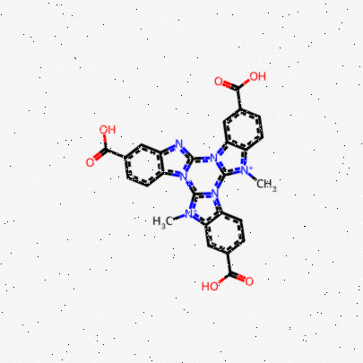 C[n+]1c2cc(C(=O)O)ccc2n2c1n1c3ccc(C(=O)O)cc3nc1n1c3cc(C(=O)O)ccc3[n+](C)c12